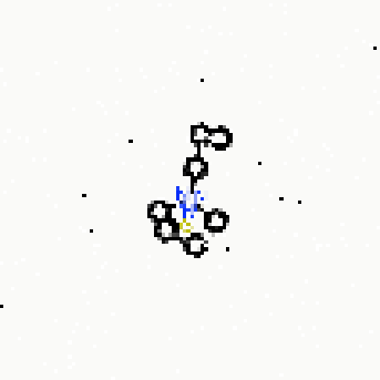 c1ccc(-c2nc(-c3ccc(-c4cccc5ccccc45)cc3)nc(-c3cccc4ccc5c6ccccc6sc5c34)n2)cc1